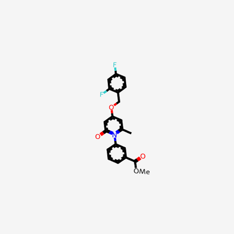 COC(=O)c1cccc(-n2c(C)cc(OCc3ccc(F)cc3F)cc2=O)c1